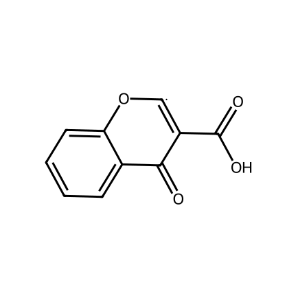 O=C(O)c1[c]oc2ccccc2c1=O